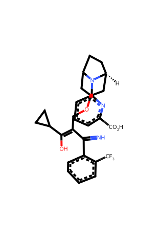 N=C(/C(COC1CC2CC[C@@H](C1)N2c1cccc(C(=O)O)n1)=C(\O)C1CC1)c1ccccc1C(F)(F)F